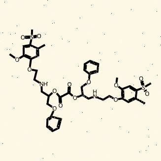 COc1cc(S(C)(=O)=O)c(C)cc1OCCNCC(COc1ccccc1)OC(=O)C(=O)OC(CNCCOc1cc(C)c(S(C)(=O)=O)cc1OC)COc1ccccc1